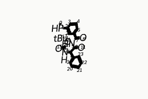 CPc1cccc(C(=O)NC(=O)C(NC(=O)OC(C)(C)C)c2ccccc2)c1